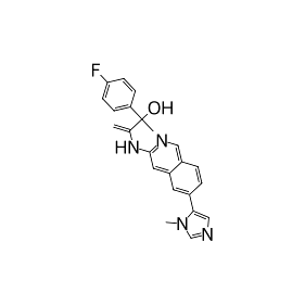 C=C(Nc1cc2cc(-c3cncn3C)ccc2cn1)C(C)(O)c1ccc(F)cc1